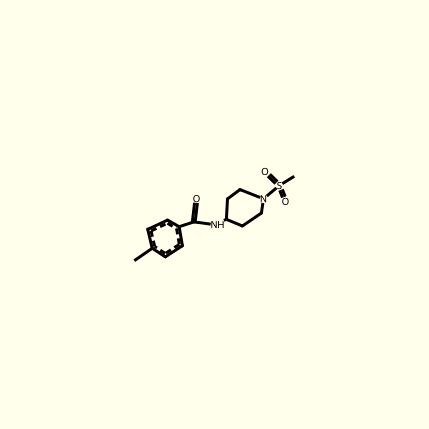 Cc1ccc(C(=O)NC2CCN(S(C)(=O)=O)CC2)cc1